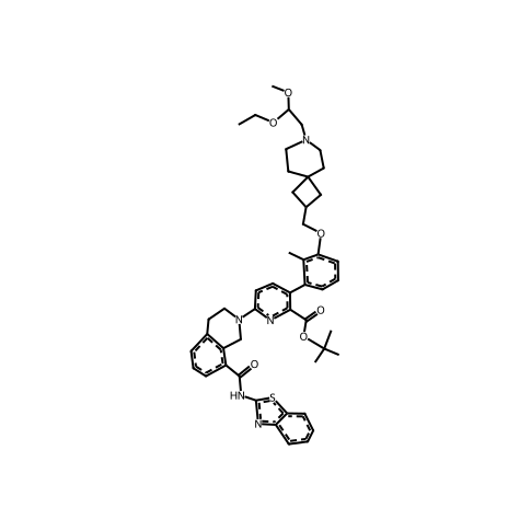 CCOC(CN1CCC2(CC1)CC(COc1cccc(-c3ccc(N4CCc5cccc(C(=O)Nc6nc7ccccc7s6)c5C4)nc3C(=O)OC(C)(C)C)c1C)C2)OC